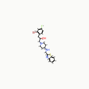 OC(Cc1ccc(F)cc1Br)CN1CCC(NCc2nc3ccccc3s2)CC1